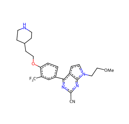 COCCn1ccc2c(-c3ccc(OCCC4CCNCC4)c(C(F)(F)F)c3)nc(C#N)nc21